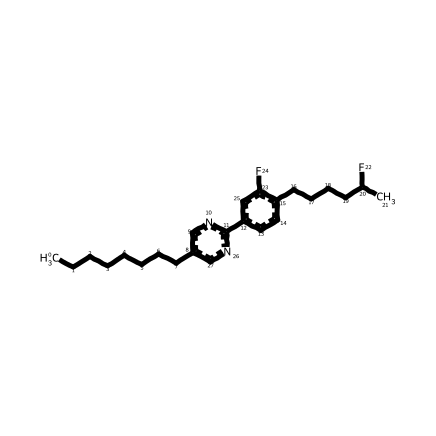 CCCCCCCCc1cnc(-c2ccc(CCCCC(C)F)c(F)c2)nc1